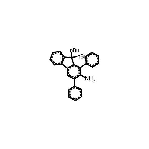 CCCCC1(CCCC)c2ccccc2-c2cc(-c3ccccc3)c(N)c(-c3ccccc3)c21